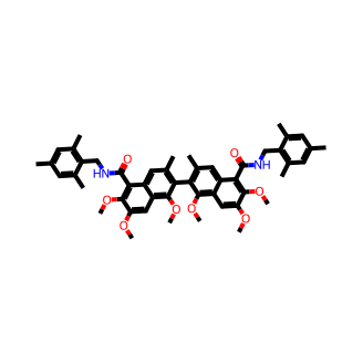 COc1cc2c(OC)c(-c3c(C)cc4c(C(=O)NCc5c(C)cc(C)cc5C)c(OC)c(OC)cc4c3OC)c(C)cc2c(C(=O)NCc2c(C)cc(C)cc2C)c1OC